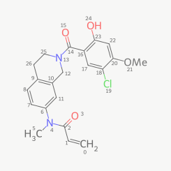 C=CC(=O)N(C)c1ccc2c(c1)CN(C(=O)c1cc(Cl)c(OC)cc1O)CC2